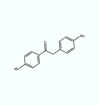 CC(C)(C)c1ccc(CC(=O)c2ccc(C(C)(C)C)cc2)cc1